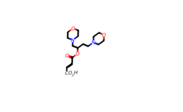 O=C(O)C=CC(=O)OC(CCN1CCOCC1)CN1CCOCC1